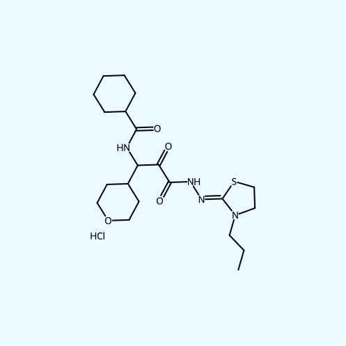 CCCN1CCSC1=NNC(=O)C(=O)C(NC(=O)C1CCCCC1)C1CCOCC1.Cl